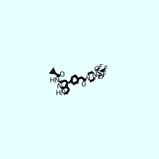 O=C(Nc1cc(-c2ccc(CC(=O)N3CCN(S(=O)(=O)C(F)(F)F)CC3)cc2)c2cc[nH]c2n1)C1CC1